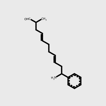 CC(C=O)CC=CCCC=CCC(N)c1ccccc1